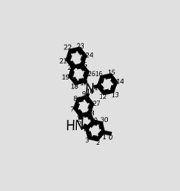 Cc1ccc2[nH]c3ccc(N(c4ccccc4)c4ccc5ccccc5c4)cc3c2c1